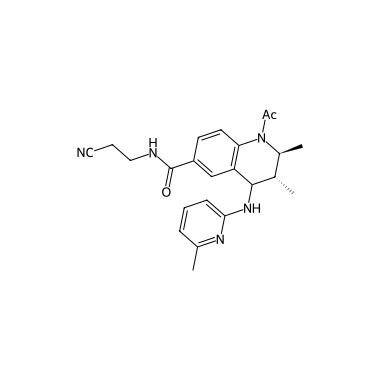 CC(=O)N1c2ccc(C(=O)NCCC#N)cc2C(Nc2cccc(C)n2)[C@@H](C)[C@@H]1C